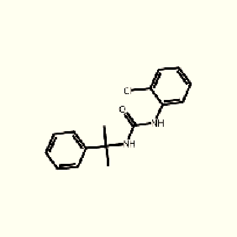 CC(C)(NC(=O)Nc1ccccc1Cl)c1ccccc1